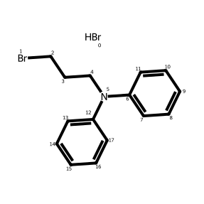 Br.BrCCCN(c1ccccc1)c1ccccc1